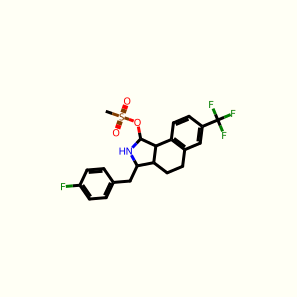 CS(=O)(=O)OC1NC(Cc2ccc(F)cc2)C2CCc3cc(C(F)(F)F)ccc3C12